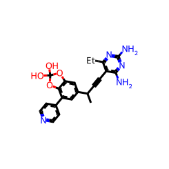 CCc1nc(N)nc(N)c1C#CC(C)c1cc2c(c(-c3ccncc3)c1)OC(O)(O)O2